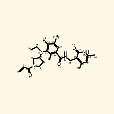 C=CC(=O)N1CCC(N(CC)c2c(C)c(C(=O)NCc3c(C)cc(C)[nH]c3=O)cc(Br)c2F)C1